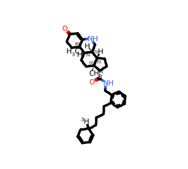 [3H]C1(CCCCc2ccccc2CNC(=O)[C@H]2CC[C@H]3[C@@H]4CNC5=CC(=O)CC[C@]5(C)[C@H]4CC[C@]23C)C=CC=CC1